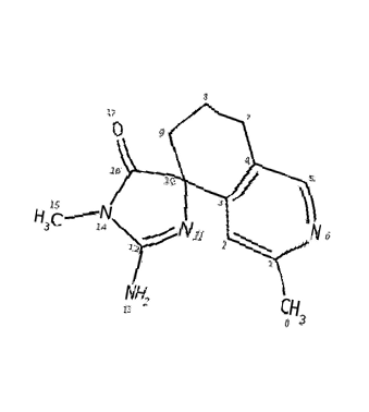 Cc1cc2c(cn1)CCCC21N=C(N)N(C)C1=O